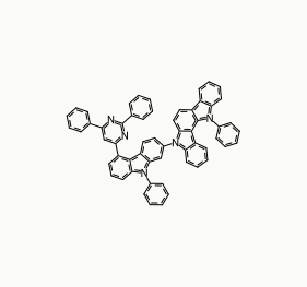 c1ccc(-c2cc(-c3cccc4c3c3ccc(-n5c6ccccc6c6c5ccc5c7ccccc7n(-c7ccccc7)c56)cc3n4-c3ccccc3)nc(-c3ccccc3)n2)cc1